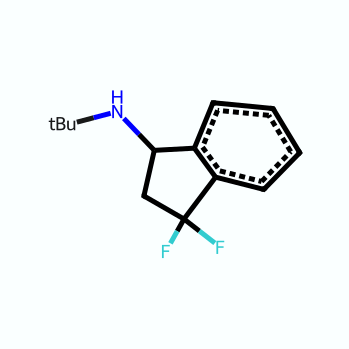 CC(C)(C)NC1CC(F)(F)c2ccccc21